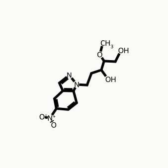 COC(CO)C(O)CCn1ncc2cc([N+](=O)[O-])ccc21